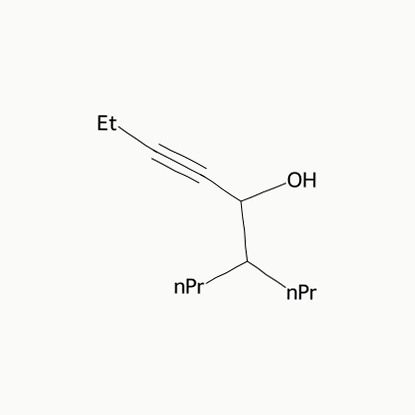 [CH2]CC#CC(O)C(CCC)CCC